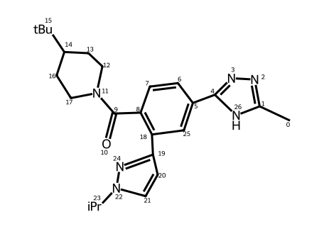 Cc1nnc(-c2ccc(C(=O)N3CCC(C(C)(C)C)CC3)c(-c3ccn(C(C)C)n3)c2)[nH]1